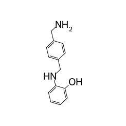 NCc1ccc(CNc2ccccc2O)cc1